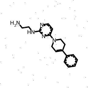 NCCNc1nccc(N2CC=C(c3ccccc3)CC2)n1